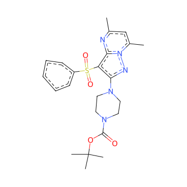 Cc1cc(C)n2nc(N3CCN(C(=O)OC(C)(C)C)CC3)c(S(=O)(=O)c3ccccc3)c2n1